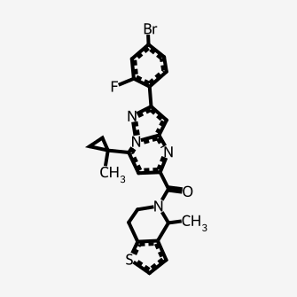 CC1c2ccsc2CCN1C(=O)c1cc(C2(C)CC2)n2nc(-c3ccc(Br)cc3F)cc2n1